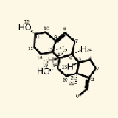 C/C=C1/CC[C@H]2[C@@H]3CC=C4C[C@@H](O)CC[C@]4(C)[C@H]3[C@@H](O)C[C@]12C